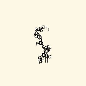 Cc1nc(C(=O)N2CCOC3(CCN(Cc4cc(F)cc(CCNC[C@H](OC(=O)C(F)(F)F)c5ccc(OC(=O)C(F)(F)F)c6[nH]c(=O)sc56)c4)CC3)C2)cs1